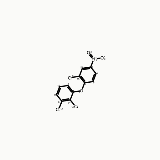 O=[N+]([O-])c1ccc(Oc2cccc(Cl)c2Cl)c(Cl)c1